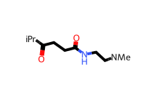 CNCCNC(=O)CCC(=O)C(C)C